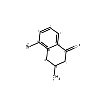 CC1CC(=O)c2cccc(Br)c2C1